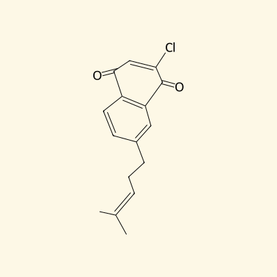 CC(C)=CCCc1ccc2c(c1)C(=O)C(Cl)=CC2=O